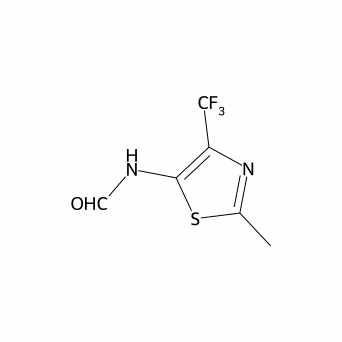 Cc1nc(C(F)(F)F)c(NC=O)s1